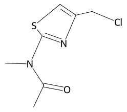 CC(=O)N(C)c1nc(CCl)cs1